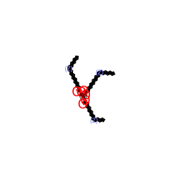 CCCC/C=C\CCCCCCCC(=O)OC[C@@H](COC(=O)CCCCCCCCC/C=C\CCCCCC)OC(=O)CCCCCCCCC/C=C\CCCCCC